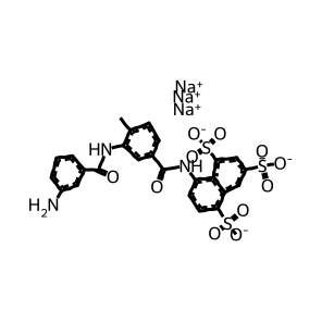 Cc1ccc(C(=O)Nc2ccc(S(=O)(=O)[O-])c3cc(S(=O)(=O)[O-])cc(S(=O)(=O)[O-])c23)cc1NC(=O)c1cccc(N)c1.[Na+].[Na+].[Na+]